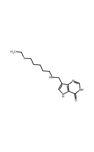 CCSCCCCCNCc1c[nH]c2c(=O)[nH]cnc12